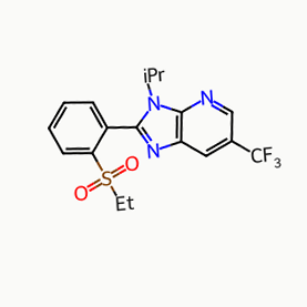 CCS(=O)(=O)c1ccccc1-c1nc2cc(C(F)(F)F)cnc2n1C(C)C